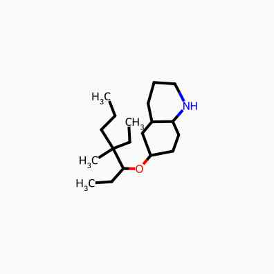 CCCC(C)(CC)C(CC)OC1CCC2NCCCC2C1